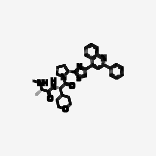 CN[C@@H](C)C(=O)N[C@H](C(=O)N1CCC[C@H]1c1nc(-c2cc(-c3ccccc3)nc3ccccc23)cs1)C1CCOCC1